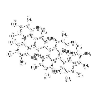 Bc1c(B)c(B)c2c(-c3c4c(B)c(B)c(B)c(B)c4c(-c4c(B)c(B)c5c6c(B)c(B)c(B)c(B)c6c6c(B)c(B)c(B)c(B)c6c5c4B)c4c(B)c(B)c(B)c(B)c34)c(B)c(B)c(B)c2c1B